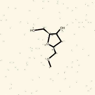 COC[C@@H]1CC(O)[C@H](CO)O1